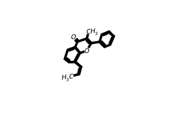 C/C=C\c1cccc2c(=O)c(C)c(-c3ccccc3)oc12